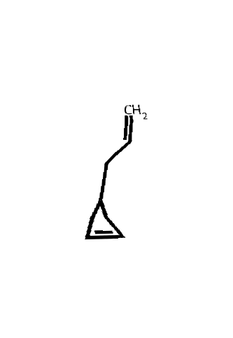 C=CCC1C=C1